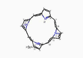 C1=Cc2cc3ccc(cc4nc(cc5ccc(cc1n2)[nH]5)C=C4)[nH]3.[Sn+4]